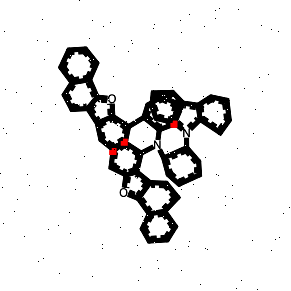 c1ccc(N(c2ccccc2-n2c3ccccc3c3ccccc32)c2cccc3oc4c5ccccc5ccc4c23)c(-c2cccc3c2oc2c4ccccc4ccc32)c1